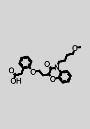 COCCCCN1C(=O)C(CCOc2ccccc2CC(=O)O)Oc2ccccc21